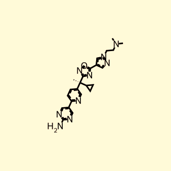 CN(C)CCn1cc(-c2nc([C@](C)(c3ccc(-c4cnc(N)nc4)nc3)C3CC3)no2)cn1